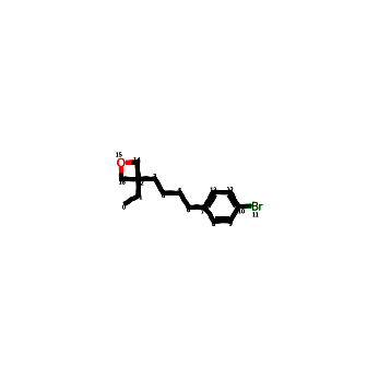 CCC1(CCCCc2ccc(Br)cc2)COC1